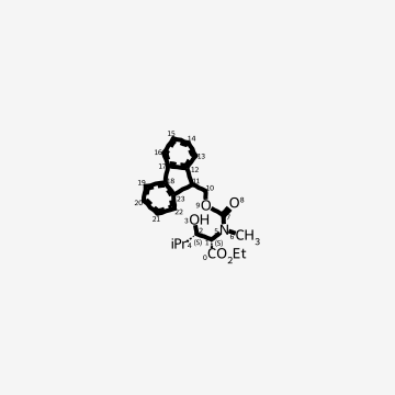 CCOC(=O)[C@H]([C@@H](O)C(C)C)N(C)C(=O)OCC1c2ccccc2-c2ccccc21